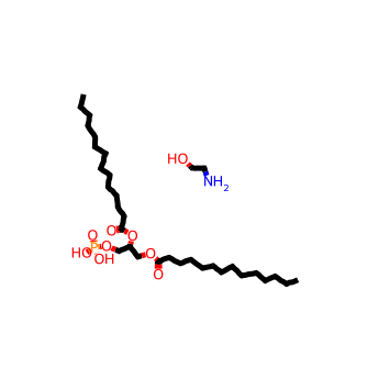 CCCCCCCCCCCCCC(=O)OCC(COP(=O)(O)O)OC(=O)CCCCCCCCCCCCC.NCCO